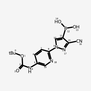 CC(C)(C)OC(=O)Nc1ccc(-n2cc(B(O)O)c(C#N)n2)nc1